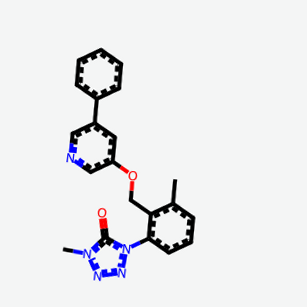 Cc1cccc(-n2nnn(C)c2=O)c1COc1cncc(-c2ccccc2)c1